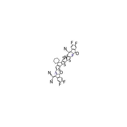 N#CC(C#N)=C1/C(=C/c2cc3c(s2)-c2sc4c(sc5cc(/C=C6/C(=O)c7cc(F)c(F)cc7C6=C(C#N)C#N)sc54)c2C32CCCCC2)C(=O)c2cc(F)c(F)cc21